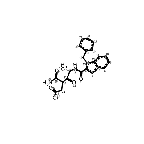 C[C@H](NC(=O)c1cc2ccccc2n1Cc1ccccc1)C(=O)C(CC(=O)O)C(N)=O